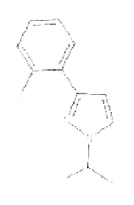 FC(F)n1c[c]c(-c2ccccc2Cl)n1